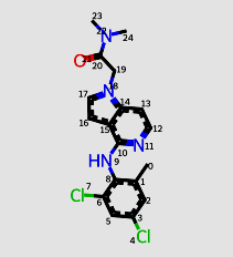 Cc1cc(Cl)cc(Cl)c1Nc1nccc2c1ccn2CC(=O)N(C)C